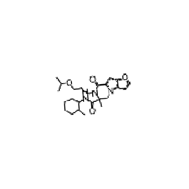 CC(C)OCCCN1C(=O)c2cc3occc3n2CC1(C)C(=O)NC1CCCCC1C